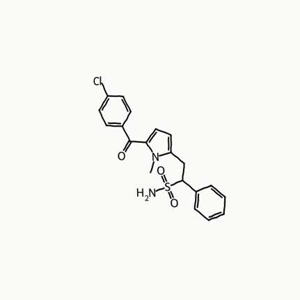 Cn1c(CC(c2ccccc2)S(N)(=O)=O)ccc1C(=O)c1ccc(Cl)cc1